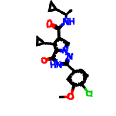 COc1cc(-c2nn3cc(C(=O)N[C@H](C)C4CC4)c(C4CC4)c3c(=O)[nH]2)ccc1Cl